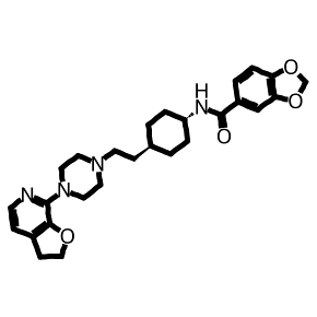 O=C(N[C@H]1CC[C@H](CCN2CCN(c3nccc4c3OCC4)CC2)CC1)c1ccc2c(c1)OCO2